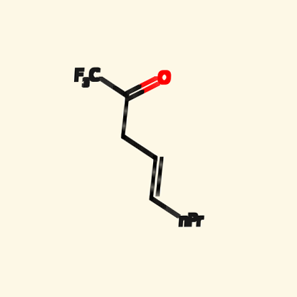 CCCC=CCC(=O)C(F)(F)F